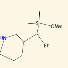 CCC(C1CCCNC1)[Si](C)(C)OC